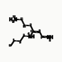 CCCCN/C(=C\C=N)CCCN